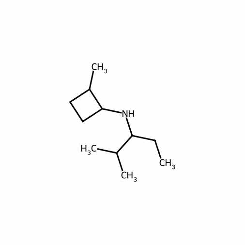 CCC(NC1CCC1C)C(C)C